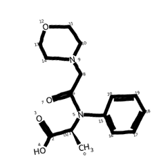 C[C@@H](C(=O)O)N(C(=O)CN1CCOCC1)c1ccccc1